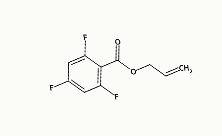 C=CCOC(=O)c1c(F)cc(F)cc1F